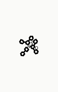 c1ccc(-c2ccc(N(c3cc(-c4ccccc4)cc(-c4ccccc4)c3)c3cc4c5ccccc5oc4c4c3sc3ccccc34)cc2)cc1